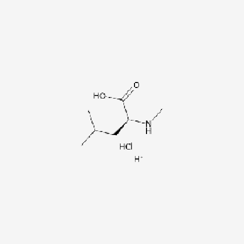 CN[C@@H](CC(C)C)C(=O)O.Cl.[H+]